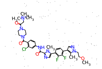 COCCn1ncc(-c2ccc(-c3cnc(C(=O)Nc4ccc(C(=O)N5CCN(C(=O)C[N+](C)(C)C)CC5)c(Cl)c4)n3C)c(F)c2F)c1C